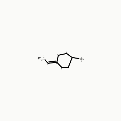 CC(C)(C)C1CCC(=CC(=O)O)CC1